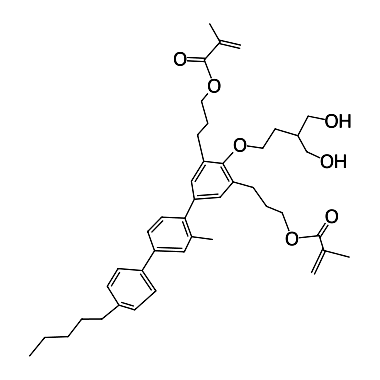 C=C(C)C(=O)OCCCc1cc(-c2ccc(-c3ccc(CCCCC)cc3)cc2C)cc(CCCOC(=O)C(=C)C)c1OCCC(CO)CO